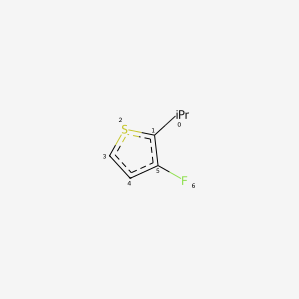 CC(C)c1sccc1F